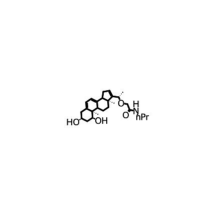 CCCNC(=O)CO[C@@H](C)C1=CCC2C3=CC=C4C[C@@H](O)C[C@H](O)[C@]4(C)C3CC[C@]12C